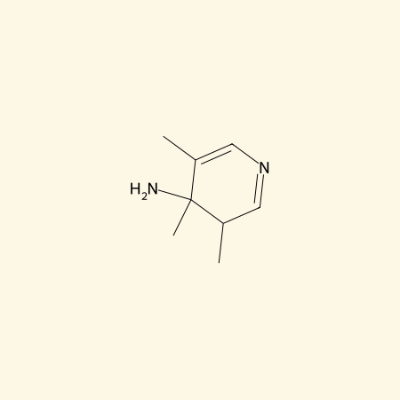 CC1=CN=CC(C)C1(C)N